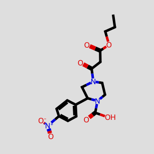 CCCOC(=O)CC(=O)N1CCN(C(=O)O)C(c2ccc([N+](=O)[O-])cc2)C1